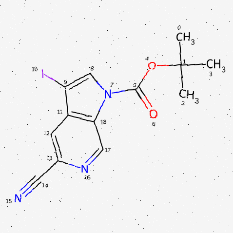 CC(C)(C)OC(=O)n1cc(I)c2cc(C#N)ncc21